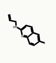 C=CCNc1ccc2cc(I)ccc2n1